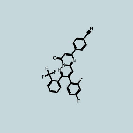 N#Cc1ccc(-c2cc(=O)n3nc(-c4ccccc4C(F)(F)F)c(-c4ccc(F)cc4F)cc3n2)cc1